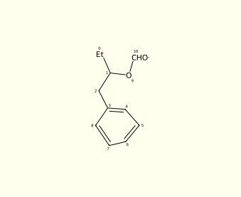 CCC(Cc1ccccc1)O[C]=O